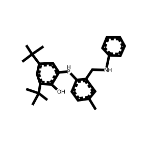 Cc1ccc(Pc2cc(C(C)(C)C)cc(C(C)(C)C)c2O)c(CNc2ccccc2)c1